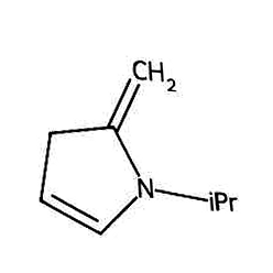 C=C1CC=CN1C(C)C